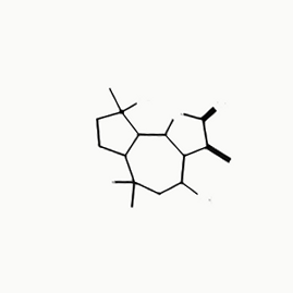 C=C1C(=O)OC2C1C(O)CC(C)(O)C1CCC(C)(O)C21